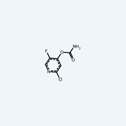 NC(=O)Oc1cc(Cl)ncc1F